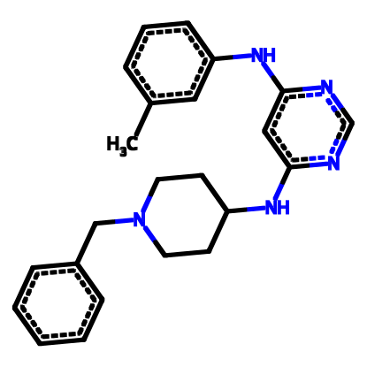 Cc1cccc(Nc2cc(NC3CCN(Cc4ccccc4)CC3)ncn2)c1